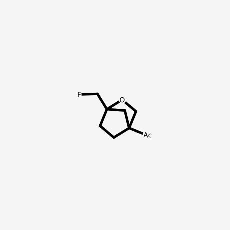 CC(=O)C12CCC(CF)(C1)OC2